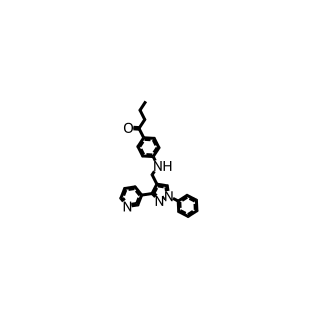 CCCC(=O)c1ccc(NCc2cn(-c3ccccc3)nc2-c2cccnc2)cc1